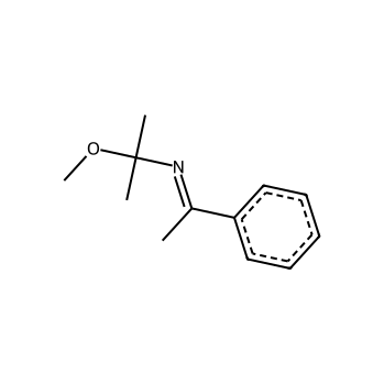 COC(C)(C)/N=C(\C)c1ccccc1